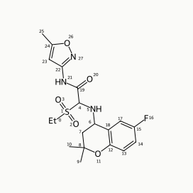 CCS(=O)(=O)C(NC1CC(C)(C)Oc2ccc(F)cc21)C(=O)Nc1cc(C)on1